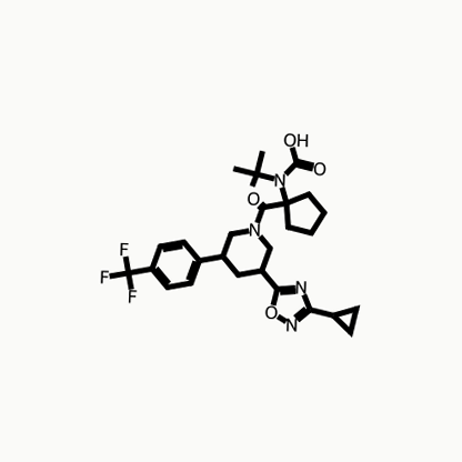 CC(C)(C)N(C(=O)O)C1(C(=O)N2CC(c3ccc(C(F)(F)F)cc3)CC(c3nc(C4CC4)no3)C2)CCCC1